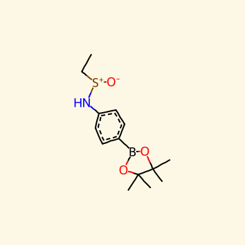 CC[S+]([O-])Nc1ccc(B2OC(C)(C)C(C)(C)O2)cc1